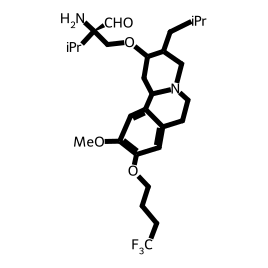 COc1cc2c(cc1OCCCC(F)(F)F)CCN1CC(CC(C)C)C(OC[C@](N)(C=O)C(C)C)CC21